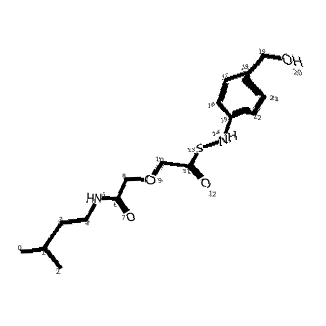 CC(C)CCNC(=O)COCC(=O)SNc1ccc(CO)cc1